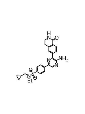 CCN(CC1CC1)S(=O)(=O)c1ccc(-c2cnc(N)c(-c3ccc4c(c3)CCNC4=O)n2)cc1